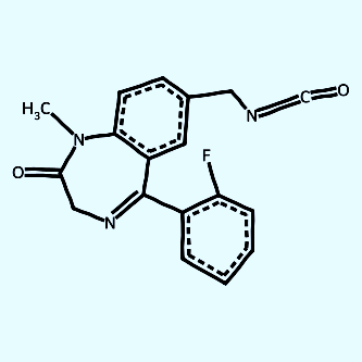 CN1C(=O)CN=C(c2ccccc2F)c2cc(CN=C=O)ccc21